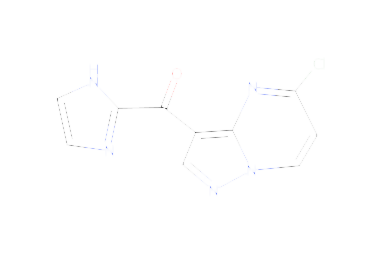 O=C(c1ncc[nH]1)c1cnn2ccc(Cl)nc12